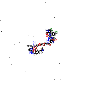 Cc1ncsc1-c1ccc([C@H](C)NC(=O)[C@@H]2CCCN2C(=O)[C@@H](NC(=O)CCOCCOCCNC(=O)c2cnc(O)c(-c3nc4c(n3C(C)C)[C@H](c3ccc(Cl)cc3)N(c3cc(Cl)cn(C)c3=O)C4=O)c2)C(C)(C)C)cc1